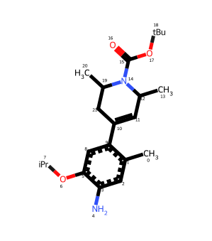 Cc1cc(N)c(OC(C)C)cc1C1=CC(C)N(C(=O)OC(C)(C)C)C(C)C1